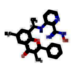 Cc1cc([C@@H](C)Nc2cccnc2C(=N)NO)c2oc(-c3ccccc3)c(C)c(=O)c2c1